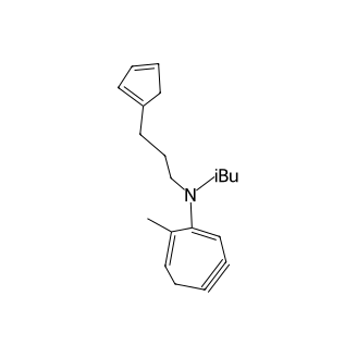 CCC(C)N(CCCC1=CC=CC1)C1=CC#CCC=C1C